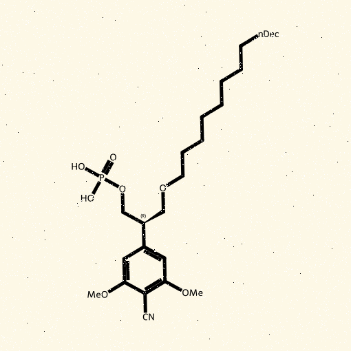 CCCCCCCCCCCCCCCCCCOC[C@H](COP(=O)(O)O)c1cc(OC)c(C#N)c(OC)c1